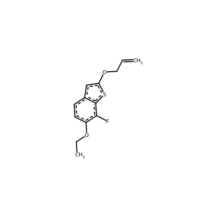 C=CCOc1cc2ccc(OCC)c(F)c2s1